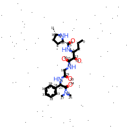 CCCC(NC(=O)[C@@H]1CC[C@H](C)N1)C(=O)C(=O)NCC(=O)NC(C(=O)N(C)C)c1ccccc1